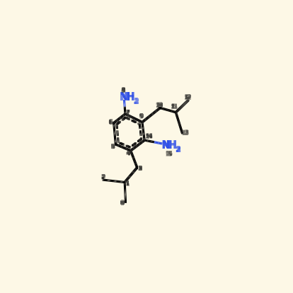 CC(C)Cc1ccc(N)c(CC(C)C)c1N